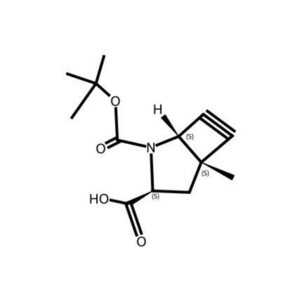 CC(C)(C)OC(=O)N1[C@H](C(=O)O)C[C@@]2(C)C#C[C@@H]12